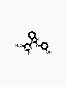 Cc1cc(-n2c(Oc3cccc(O)c3)nc3ccccc32)nc(Cl)n1